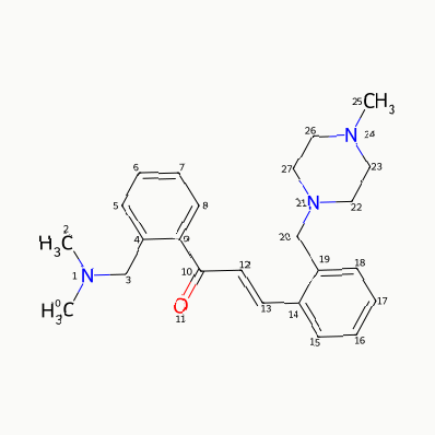 CN(C)Cc1ccccc1C(=O)/C=C/c1ccccc1CN1CCN(C)CC1